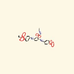 C=CC(=O)Oc1ccc(/C=C/c2ccc(/C=C/c3ccc(OC=O)cc3)c(OC(=O)/C(C)=C/C)c2)cc1